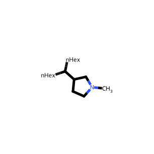 CCCCCCC(CCCCCC)C1CCN(C)C1